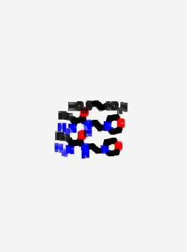 CCC(C)C(N)C(=O)NCCN1CCOCC1.CCC(C)C(N)C(=O)NCCN1CCOCC1.O=S(=O)(O)CCS(=O)(=O)O